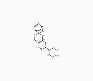 C1=CC2CC1CC21CCc2ccc(C3CCCCC3)cc2C1